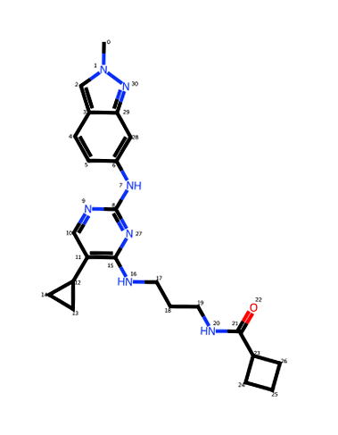 Cn1cc2ccc(Nc3ncc(C4CC4)c(NCCCNC(=O)C4CCC4)n3)cc2n1